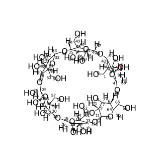 OC[C@H]1O[C@@H]2O[C@H]3[C@H](O)[C@@H](O)[C@@H](O[C@H]4[C@H](O)[C@@H](O)[C@@H](O[C@H]5[C@H](O)[C@@H](O)[C@@](O)(O[C@H]6[C@H](O)[C@@H](O)[C@@H](O[C@H]7[C@H](O)[C@@H](O)[C@@H](O[C@H]1[C@H](O)[C@H]2O)O[C@@H]7CO)O[C@@H]6CO)O[C@@H]5CO)O[C@@H]4CO)O[C@@H]3CO